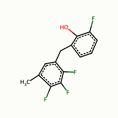 Cc1cc(Cc2cccc(F)c2O)c(F)c(F)c1F